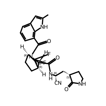 Cc1cc2cccc(C(=O)N3[C@@H]4CC[C@H]([C@H]3C(=O)N[C@@H](C#N)C[C@@H]3CCNC3=O)C(F)(F)C4)c2[nH]1